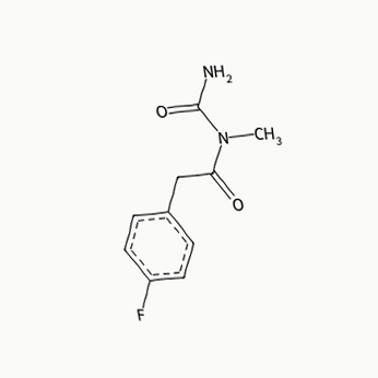 CN(C(N)=O)C(=O)Cc1ccc(F)cc1